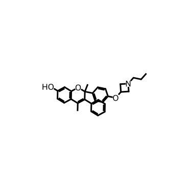 CCCN1CC(Oc2ccc(C3(C)Oc4cc(O)ccc4C(C)=C3c3ccccc3)cc2)C1